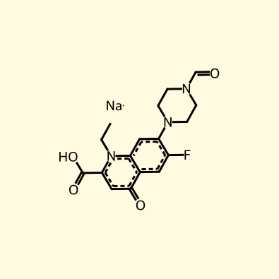 CCn1c(C(=O)O)cc(=O)c2cc(F)c(N3CCN(C=O)CC3)cc21.[Na]